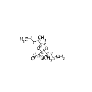 CCCC(C)C1COC(C(C)CCC)C(C(=O)C=O)O1